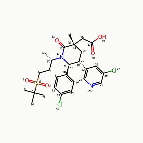 C[C@@H](CCS(=O)(=O)C(C)(C)C)N1C(=O)[C@](C)(CC(=O)O)C[C@H](c2cncc(Cl)c2)[C@H]1c1ccc(Cl)cc1